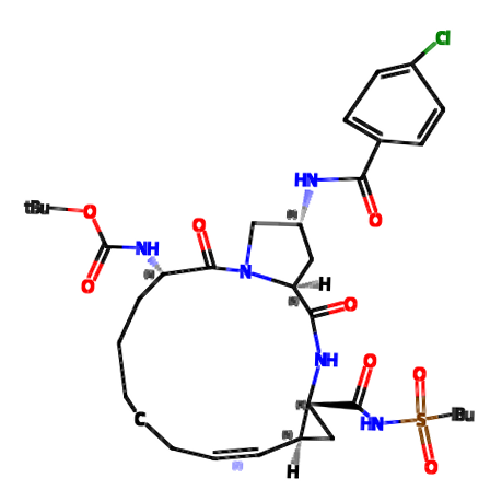 CCC(C)S(=O)(=O)NC(=O)[C@@]12C[C@H]1/C=C\CCCCC[C@H](NC(=O)OC(C)(C)C)C(=O)N1C[C@H](NC(=O)c3ccc(Cl)cc3)C[C@H]1C(=O)N2